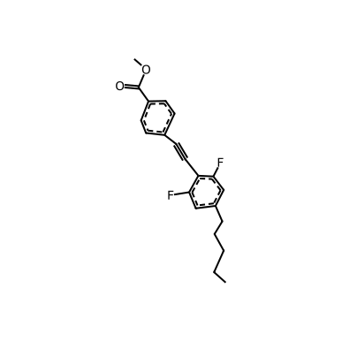 CCCCCc1cc(F)c(C#Cc2ccc(C(=O)OC)cc2)c(F)c1